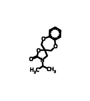 CC(C)N1CC2(COc3ccccc3OC2)OC1=O